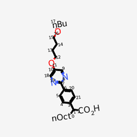 CCCCCCCCC(C(=O)O)c1ccc(-c2ncc(OCCCCOCCCC)cn2)cc1